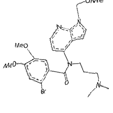 COCn1ccc2c(N(CCCN(C)C)C(=O)c3cc(OC)c(OC)cc3Br)ccnc21